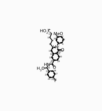 COc1cccc(-n2c(CCCCC(=O)O)cc3cc(C(=O)NC(C)c4ccc(F)cc4)ccc3c2=O)c1